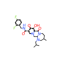 CC(C)CN1CC(C)CCN2C(=O)c3c(O)c(=O)c(C(=O)NCc4ccc(F)cc4F)cn3CC12